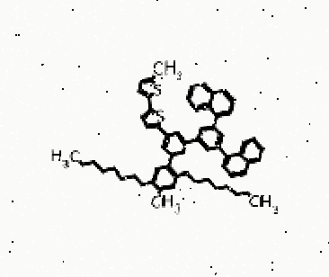 CCCCCCCCc1cc(-c2cc(-c3cc(-c4cccc5ccccc45)cc(-c4cccc5ccccc45)c3)cc(-c3ccc(-c4ccc(C)s4)s3)c2)c(CCCCCCCC)cc1C